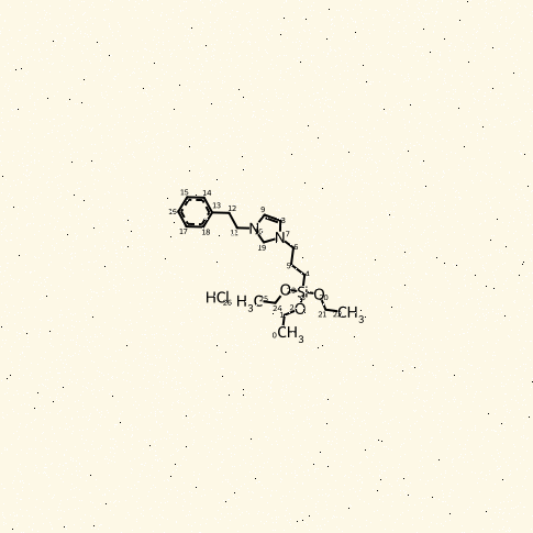 CCO[Si](CCCN1C=CN(CCc2ccccc2)C1)(OCC)OCC.Cl